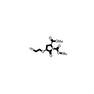 COC(=O)[C@@H]1C[C@H](OCC[18F])C(=O)N1C(=O)OC(C)(C)C